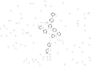 Cc1ccc(-c2ccc(CCc3cc(CCc4ccc(-c5ccc(C)cn5)cc4)cc(-c4ccccc4-c4ccc(-c5cc(-c6ccc(-c7ccccc7)cc6C)c(C)cn5)cc4)c3)cc2)nc1